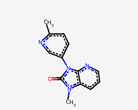 Cc1ccc(-n2c(=O)n(C)c3cccnc32)cn1